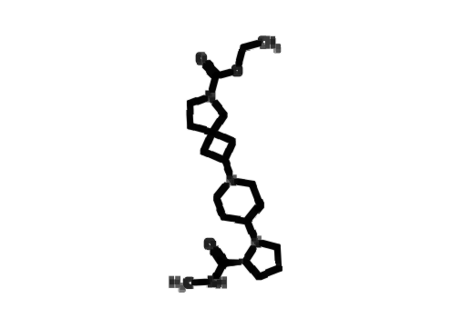 CCOC(=O)N1CCC2(CC(N3CCC(N4CCC[C@H]4C(=O)NC)CC3)C2)C1